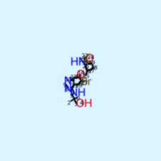 CC(C)(CO)CNc1ncnc2cc(OCc3cccc(S(C)(=N)=O)c3)c(Br)cc12